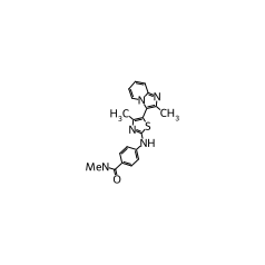 CNC(=O)c1ccc(Nc2nc(C)c(-c3c(C)nc4ccccn34)s2)cc1